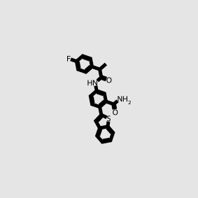 CC(C(=O)Nc1ccc(-c2cc3ccccc3s2)c(C(N)=O)c1)c1ccc(F)cc1